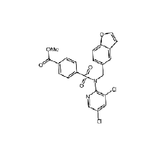 COC(=O)c1ccc(S(=O)(=O)N(Cc2ccc3occc3c2)c2ncc(Cl)cc2Cl)cc1